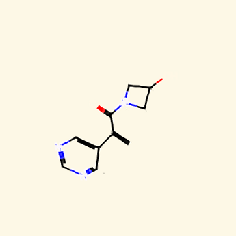 C=C(C(=O)N1CC(O)C1)c1cncnc1